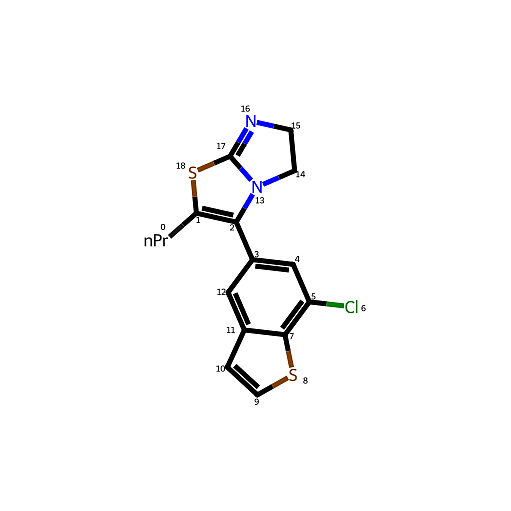 CCCC1=C(c2cc(Cl)c3sccc3c2)N2CCN=C2S1